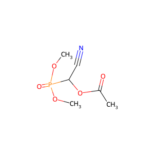 COP(=O)(OC)C(C#N)OC(C)=O